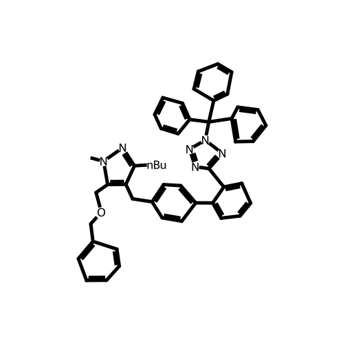 CCCCc1nn(C)c(COCc2ccccc2)c1Cc1ccc(-c2ccccc2-c2nnn(C(c3ccccc3)(c3ccccc3)c3ccccc3)n2)cc1